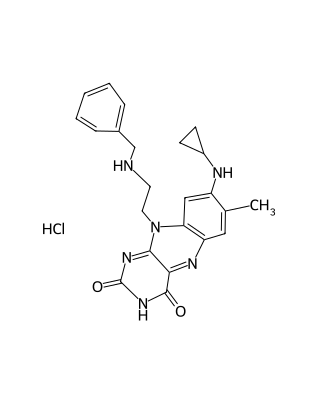 Cc1cc2nc3c(=O)[nH]c(=O)nc-3n(CCNCc3ccccc3)c2cc1NC1CC1.Cl